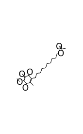 COC1=C(OC)C(=O)C(CCCCCCCCCCOC(C)=O)=C(C)C1=O